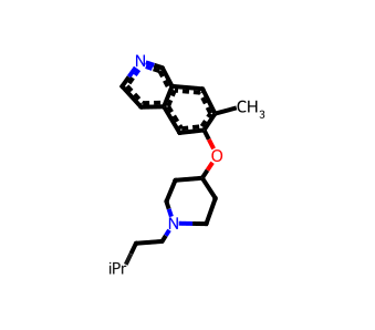 Cc1cc2cnccc2cc1OC1CCN(CCC(C)C)CC1